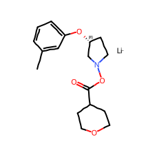 Cc1cccc(O[C@@H]2CCN(OC(=O)C3CCOCC3)C2)c1.[Li]